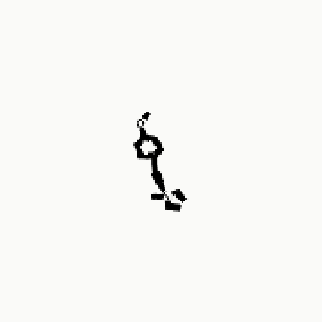 C=C[Si](C)(C#Cc1ccc(OC)cc1)C=C